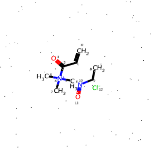 C=CC(=O)[N+](C)(C)C.CCN=O.[Cl-]